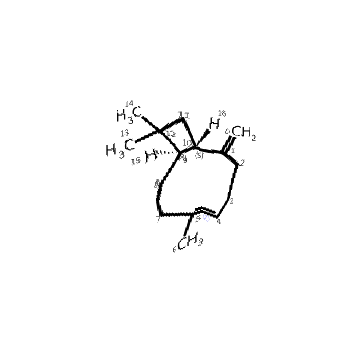 C=C1CC/C=C(/C)CC[C@@H]2[C@@H]1CC2(C)C